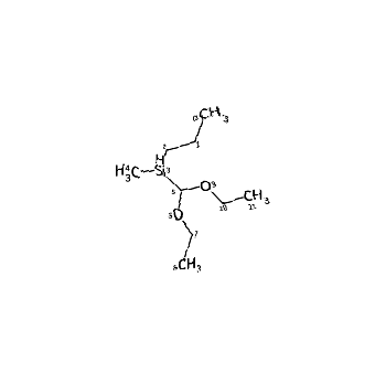 CCC[SiH](C)C(OCC)OCC